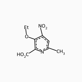 CCOc1c([N+](=O)[O-])cc(C)nc1C(=O)O